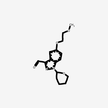 COCCOc1ccc2c(c1)c(C=O)nn2C1CCCCO1